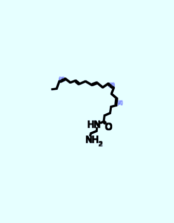 CC/C=C\CC=CCC=CC/C=C\C/C=C\CCCC(=O)NCCN